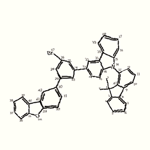 CC1(C)c2ccccc2-c2cccc(-n3c4ccccc4c4cc(-c5cc(Br)cc(-c6ccc7oc8ccccc8c7c6)c5)ccc43)c21